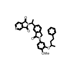 COc1ccc(N2Cc3ccc(C(C)N4C(=O)c5ccncc5C4=O)cc3C2=O)cc1OC(C)CCc1ccccc1